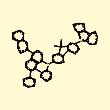 CC1(C)c2cc(N(c3ccc(-c4ccc5ccccc5c4)cc3)c3ccccc3-c3ccccc3-c3ccccc3)ccc2-c2ccc(-n3c4ccccc4c4ccccc43)cc21